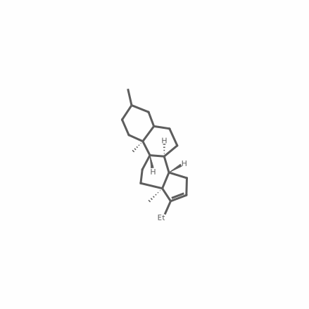 CCC1=CC[C@H]2[C@@H]3CCC4CC(C)CC[C@]4(C)[C@H]3CC[C@]12C